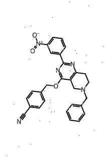 N#Cc1ccc(COc2nc(-c3cccc([N+](=O)[O-])c3)nc3c2CN(Cc2ccccc2)CC3)cc1